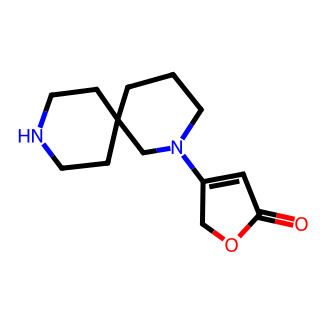 O=C1C=C(N2CCCC3(CCNCC3)C2)CO1